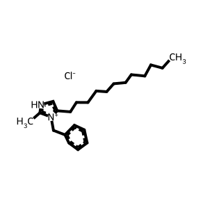 CCCCCCCCCCCCc1c[nH]c(C)[n+]1Cc1ccccc1.[Cl-]